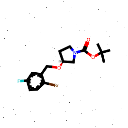 CC(C)(C)OC(=O)N1CC[C@H](OCc2cc(F)ccc2Br)C1